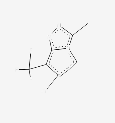 Cc1nnc2c(C(F)(F)F)c(Cl)ccn12